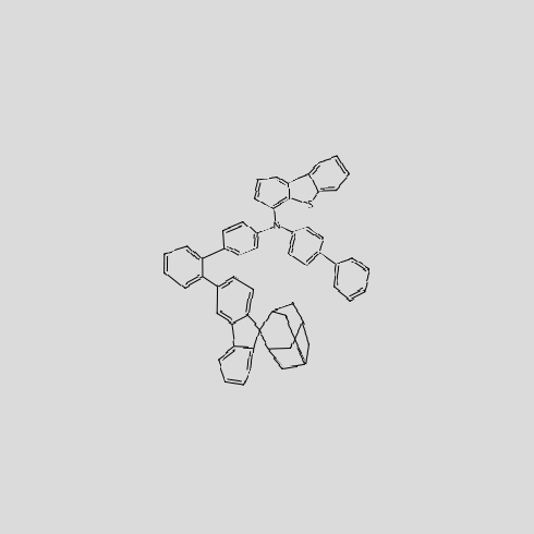 c1ccc(-c2ccc(N(c3ccc(-c4ccccc4-c4ccc5c(c4)-c4ccccc4C54C5CC6CC(C5)CC4C6)cc3)c3cccc4c3sc3ccccc34)cc2)cc1